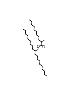 CCCCCCCCCCC(CCCCCCCCC)COC(=O)C(C)CCCCCCCCC